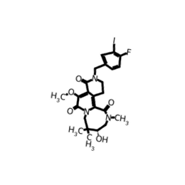 COc1c2c(c3n(c1=O)CC(C)(C)[C@@H](O)CN(C)C3=O)CCN(Cc1ccc(F)c(I)c1)C2=O